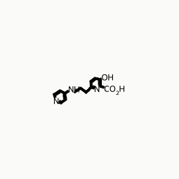 O=C(O)c1nc(CCCNc2ccncc2)ccc1O